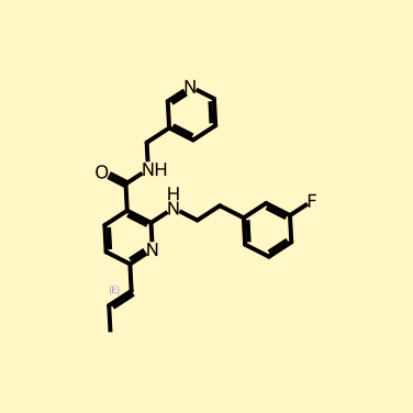 C/C=C/c1ccc(C(=O)NCc2cccnc2)c(NCCc2cccc(F)c2)n1